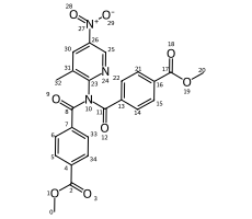 COC(=O)c1ccc(C(=O)N(C(=O)c2ccc(C(=O)OC)cc2)c2ncc([N+](=O)[O-])cc2C)cc1